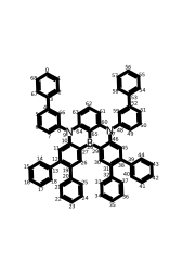 c1ccc(-c2cccc(N3c4cc(-c5ccccc5)c(-c5ccccc5)cc4B4c5cc(-c6ccccc6)c(-c6ccccc6)cc5N(c5cccc(-c6ccccc6)c5)c5cccc3c54)c2)cc1